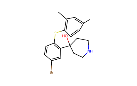 Cc1ccc(Sc2ccc(Br)cc2C2(O)CCNCC2)c(C)c1